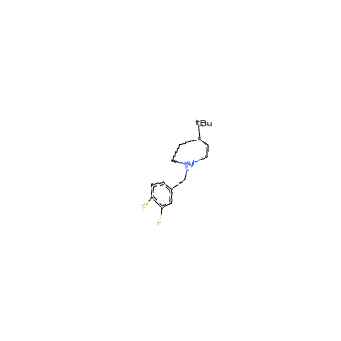 CC(C)(C)C1CCN(Cc2ccc(F)c(F)c2)CC1